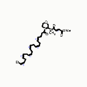 CC/C=C\C/C=C\C/C=C\C/C=C\C/C=C\C/C=C\CCC(=O)N1CCOCC1N(C)C(=O)/C=C/C(=O)OC